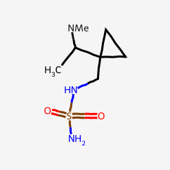 CNC(C)C1(CNS(N)(=O)=O)CC1